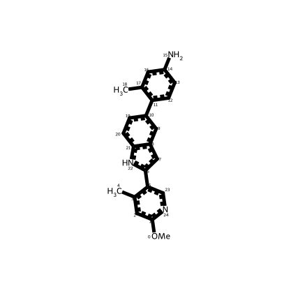 COc1cc(C)c(-c2cc3cc(-c4ccc(N)cc4C)ccc3[nH]2)cn1